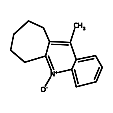 Cc1c2c([n+]([O-])c3ccccc13)CCCCC2